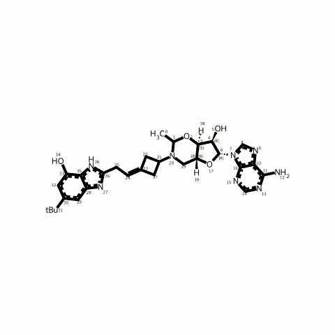 CC1O[C@H]2[C@@H](O)[C@H](n3cnc4c(N)ncnc43)O[C@@H]2CN1C1CC(=CCc2nc3cc(C(C)(C)C)cc(O)c3[nH]2)C1